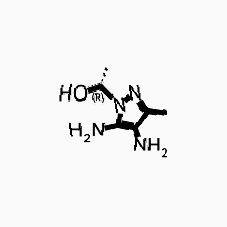 Cc1nn([C@@H](C)O)c(N)c1N